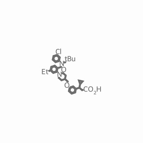 CCc1ccc(C(=O)N(CC(C)(C)C)c2cccc(Cl)c2)c(N2CCC(COc3cccc(C(CC(=O)O)C4CC4)c3)CC2)c1